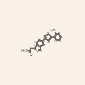 O=C(O)CC1N=Cc2cc(C3=CCC(c4ccccc4O)=C3)ccc21